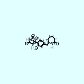 O=C1CCCCC(Cc2ccc(N3CC(=O)NS3(=O)=O)c(O)c2)N1